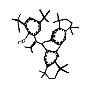 CC(C)=C(c1cc(C(C)(C)C)cc(C(C)(C)C)c1O)C1c2cc3c(cc2-c2cc4c(cc21)C(C)(C)CCC4(C)C)C(C)(C)CCC3(C)C